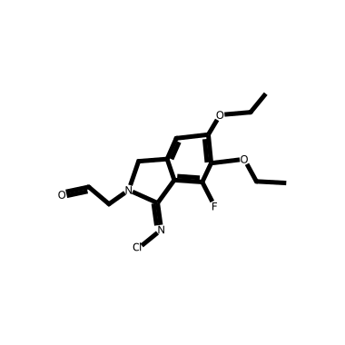 CCOc1cc2c(c(F)c1OCC)/C(=N/Cl)N(CC=O)C2